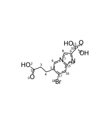 O=C(O)CCc1cn2cc(P(=O)(O)O)nc2cc1Br